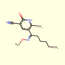 CCCCC/C(=N/OC)c1cc(C#N)c(=O)[nH]c1C